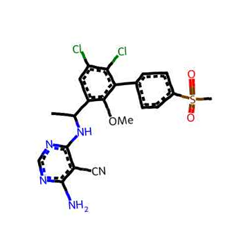 COc1c(C(C)Nc2ncnc(N)c2C#N)cc(Cl)c(Cl)c1-c1ccc(S(C)(=O)=O)cc1